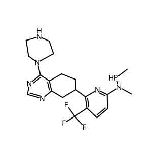 CPN(C)c1ccc(C(F)(F)F)c(C2CCc3c(ncnc3N3CCNCC3)C2)n1